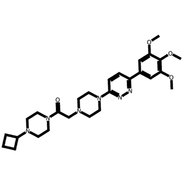 COc1cc(-c2ccc(N3CCN(CC(=O)N4CCN(C5CCC5)CC4)CC3)nn2)cc(OC)c1OC